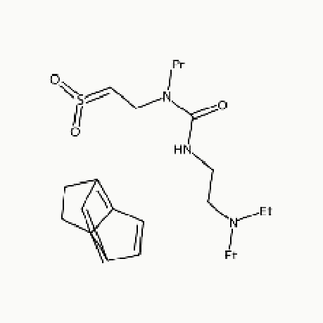 C1=CC2=C3C=C1C2CC3.CCN(CC)CCNC(=O)N(CC=S(=O)=O)C(C)C